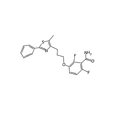 Cc1sc(-c2ccccc2)nc1CCCOc1ccc(F)c(C(N)=O)c1F